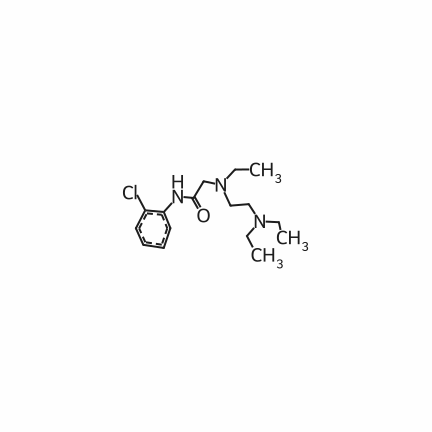 CCN(CC)CCN(CC)CC(=O)Nc1ccccc1Cl